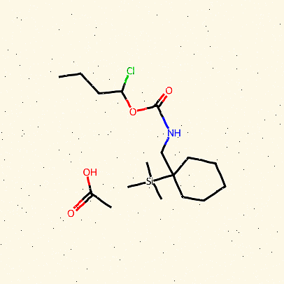 CC(=O)O.CCCC(Cl)OC(=O)NCC1([Si](C)(C)C)CCCCC1